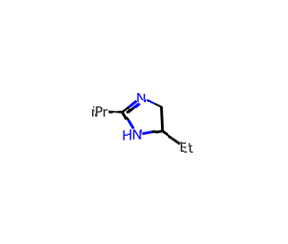 CCC1CN=C(C(C)C)N1